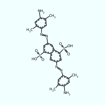 Cc1cc(/N=N/c2cc(S(=O)(=O)O)c3cc(/N=N/c4cc(C)c(N)cc4C)cc(S(=O)(=O)O)c3c2)c(C)cc1N